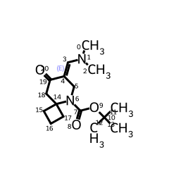 CN(C)/C=C1\CN(C(=O)OC(C)(C)C)C2(CCC2)CC1=O